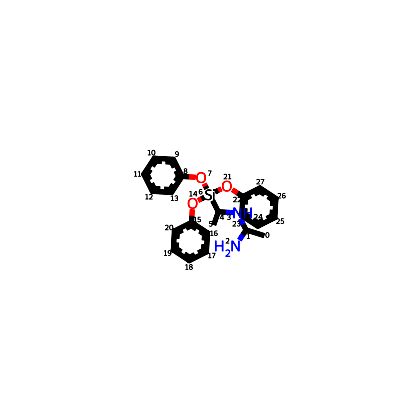 CC(N)NC(C)[Si](Oc1ccccc1)(Oc1ccccc1)Oc1ccccc1